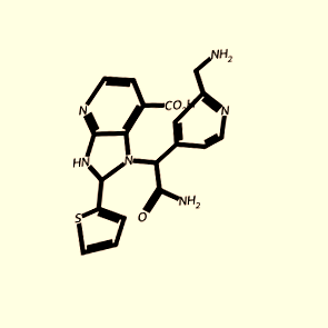 NCc1cc(C(C(N)=O)N2c3c(C(=O)O)ccnc3NC2c2cccs2)ccn1